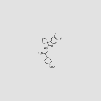 NC(CNC(=O)C1(c2ccc(F)c(F)c2)CCCC1)C1CCN(C=O)CC1